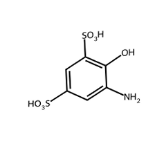 Nc1cc(S(=O)(=O)O)cc(S(=O)(=O)O)c1O